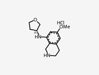 COc1cc2c(c(N[C@H]3CCOC3)c1)CNCC2.Cl